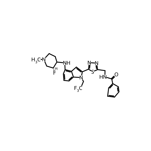 CN1CCC(Nc2cccc3c2cc(-c2nnc(CNC(=O)c4ccccc4)s2)n3CC(F)(F)F)[C@H](F)C1